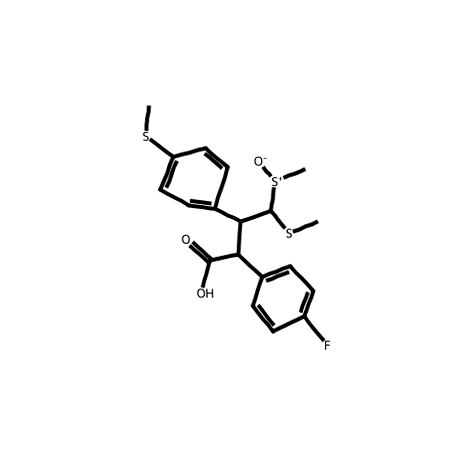 CSc1ccc(C(C(C(=O)O)c2ccc(F)cc2)C(SC)[S+](C)[O-])cc1